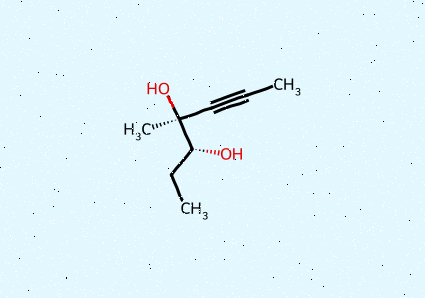 CC#C[C@](C)(O)[C@H](O)CC